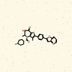 Cc1c(-c2ccc(-c3cc4ncccc4o3)cc2)sc(C(=O)O)c1N(C(=O)[C@H]1CC[C@H](C)CC1)C(C)C